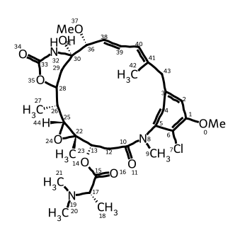 COc1cc2cc(c1Cl)N(C)C(=O)C[C@H](OC(=O)[C@H](C)N(C)C)[C@]1(C)O[C@@H]1[C@H](C)C1C[C@@](O)(NC(=O)O1)[C@H](OC)/C=C/C=C(\C)C2